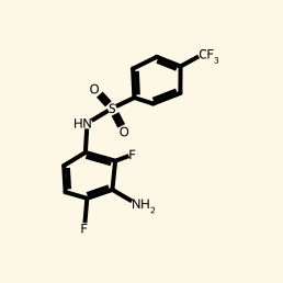 Nc1c(F)ccc(NS(=O)(=O)c2ccc(C(F)(F)F)cc2)c1F